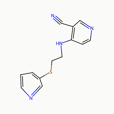 N#Cc1cnccc1NCCSc1cccnc1